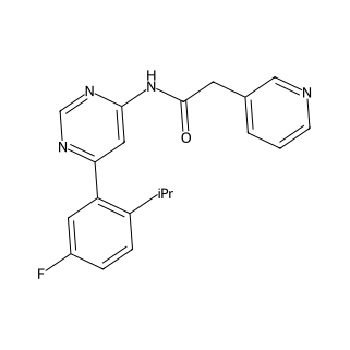 CC(C)c1ccc(F)cc1-c1cc(NC(=O)Cc2cccnc2)ncn1